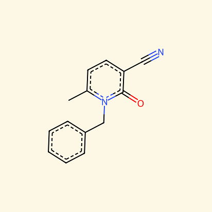 Cc1ccc(C#N)c(=O)n1Cc1ccccc1